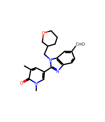 Cc1cc(-c2nc3ccc(C=O)cc3n2CC2CCCOC2)cn(C)c1=O